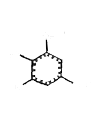 O=C([O-])c1cc(O)c(O)c(O)c1.[Li+]